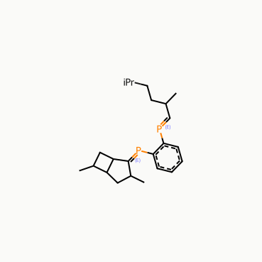 CC(C)CCC(C)/C=P/c1ccccc1/P=C1\C(C)CC2C(C)CC12